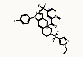 C=N/C(=C\C(=C/C)C(F)(F)F)C(=O)[C@]12Cc3cnn(-c4ccc(F)cc4)c3C=C1CCN(S(=O)(=O)c1cnn(CC)c1)C2